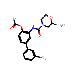 CCOC(=O)C(O)CN(CC(C)C)C(=O)Nc1cc(-c2cccc([N+](=O)[O-])c2)ccc1OC(=O)CC